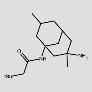 CC1CC2CC(C)(N)CC(NC(=O)CC(C)(C)C)(C1)C2